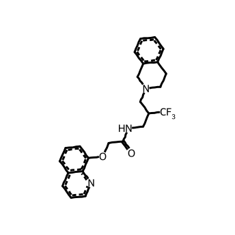 O=C(COc1cccc2cccnc12)NCC(CN1CCc2ccccc2C1)C(F)(F)F